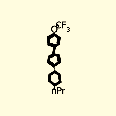 CCC[C@H]1CC[C@H](c2ccc(-c3ccc(OC(F)(F)F)cc3)cc2)CC1